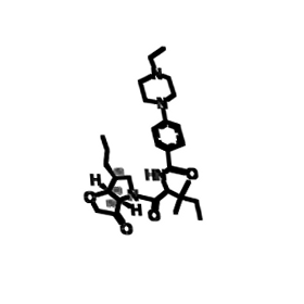 CCC[C@H]1CN(C(=O)C(NC(=O)c2ccc(N3CCN(CC)CC3)cc2)C(C)(C)CC)[C@@H]2C(=O)CO[C@H]12